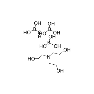 OB(O)O.OB(O)O.OB(O)O.OCCN(CCO)CCO